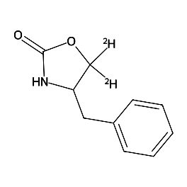 [2H]C1([2H])OC(=O)NC1Cc1ccccc1